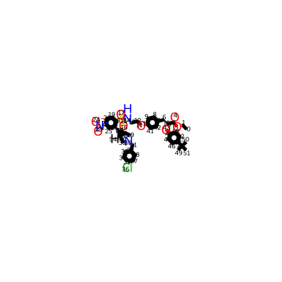 CCOC(=O)[C@H](Cc1ccc(OCCNS(=O)(=O)c2ccc([N+](=O)[O-])cc2[C@@H]2C3CN(Cc4ccc(Cl)cc4)C[C@H]32)cc1)Oc1ccc(C(C)(C)C)cc1